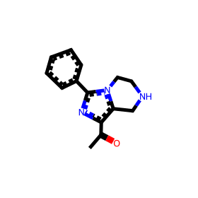 CC(=O)c1nc(-c2ccccc2)n2c1CNCC2